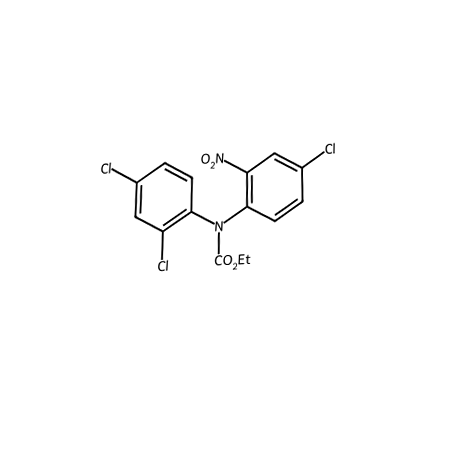 CCOC(=O)N(c1ccc(Cl)cc1Cl)c1ccc(Cl)cc1[N+](=O)[O-]